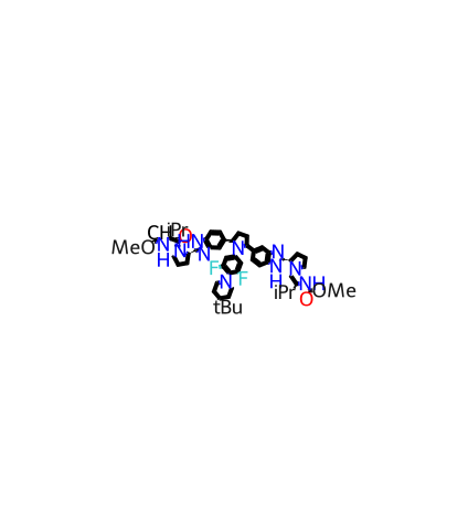 C=C(N[C@H](C(=O)N1CCC[C@H]1c1nc2cc([C@H]3CCC(c4ccc5[nH]c([C@@H]6CCCN6C[C@@H](NC(=O)OC)C(C)C)nc5c4)N3c3cc(F)c(N4CCC(C(C)(C)C)CC4)c(F)c3)ccc2[nH]1)C(C)C)OC